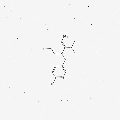 CN(C)C(=C[N+](=O)[O-])N(CCF)Cc1ccc(Cl)nc1